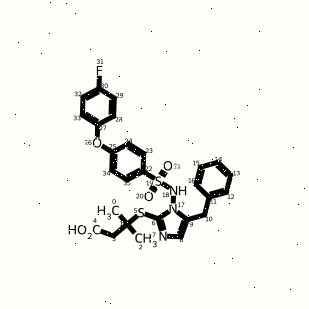 CC(C)(CC(=O)O)Sc1ncc(Cc2ccccc2)n1NS(=O)(=O)c1ccc(Oc2ccc(F)cc2)cc1